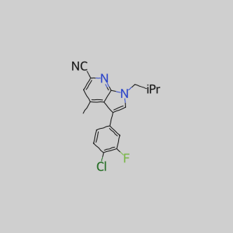 Cc1cc(C#N)nc2c1c(-c1ccc(Cl)c(F)c1)cn2CC(C)C